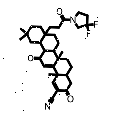 CC1(C)CCC2(CCC(=O)N3CCC(F)(F)C3)CCC3C(C(=O)C=C4C5(C)C=C(C#N)C(=O)CC5CCC43C)C2C1